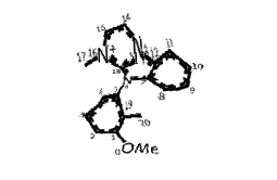 COc1cccc(-n2c3ccccc3n3cc[n+](C)c23)c1C